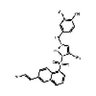 N#CC=Cc1ccc2c(S(=O)(=O)N3NN(Nc4ccc(C#N)c(Cl)c4)C=C3N)cccc2c1